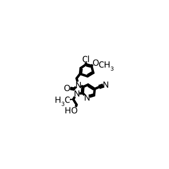 COc1ccc(Cn2c(=O)n([C@H](C)CO)c3ncc(C#N)cc32)cc1Cl